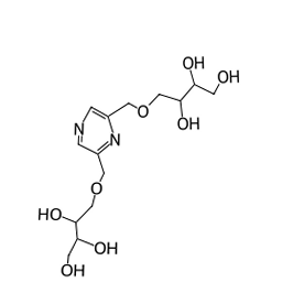 OCC(O)C(O)COCc1cncc(COCC(O)C(O)CO)n1